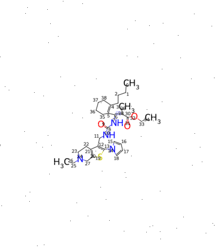 CCCCC1=C(/C(NC(=O)NCc2c(-n3cccc3)sc3c2CCN(CC)C3)=C(\C)C(=O)OCC)CCCC1